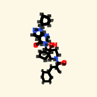 CC(CC1CCCCC1)C(=O)N1CCC(O)(Cn2cnc3c(cnn3-c3ccccc3)c2=O)C2(CCCC2)C1